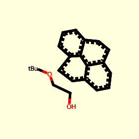 CC(C)(C)OCCO.c1cc2ccc3cccc4ccc(c1)c2c34